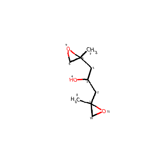 CC1(CC(O)CC2(C)CO2)CO1